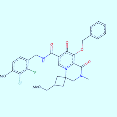 COCC1CC2(C1)CN(C)C(=O)c1c(OCc3ccccc3)c(=O)c(C(=O)NCc3ccc(OC)c(Cl)c3F)cn12